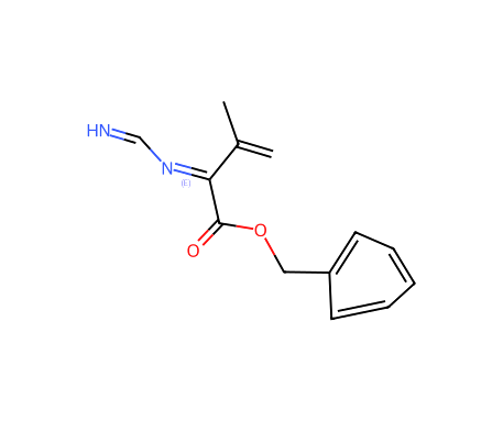 C=C(C)/C(=N\C=N)C(=O)OCc1ccccc1